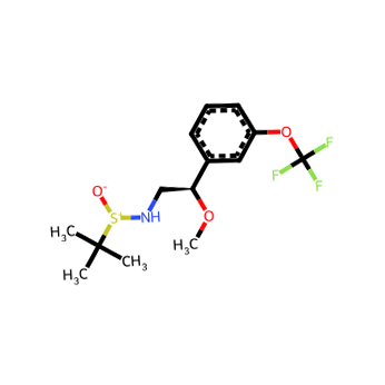 CO[C@@H](CN[S+]([O-])C(C)(C)C)c1cccc(OC(F)(F)F)c1